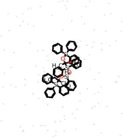 CCC(C)(O[SiH](O[Si](c1ccccc1)(c1ccccc1)C(C)(C)O[Si](c1ccccc1)(c1ccccc1)c1ccccc1)c1ccccc1)[Si](c1ccccc1)(c1ccccc1)c1ccccc1